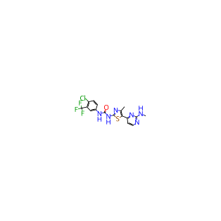 CNc1nccc(-c2sc(NC(=O)Nc3ccc(Cl)c(C(F)(F)F)c3)nc2C)n1